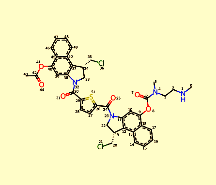 CNCCN(C)C(=O)Oc1cc2c(c3ccccc13)[C@H](CCl)CN2C(=O)c1ccc(C(=O)N2C[C@@H](CCl)c3c2cc(OC(C)=O)c2ccccc32)s1